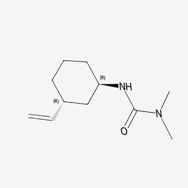 C=C[C@@H]1CCC[C@@H](NC(=O)N(C)C)C1